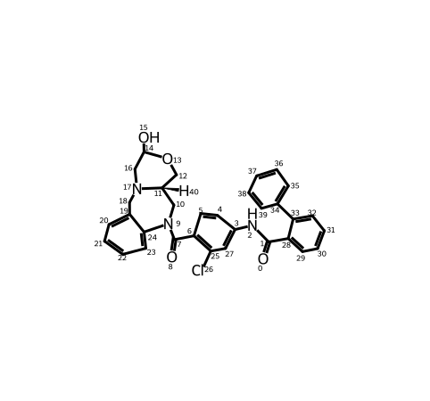 O=C(Nc1ccc(C(=O)N2C[C@H]3COC(O)CN3Cc3ccccc32)c(Cl)c1)c1ccccc1-c1ccccc1